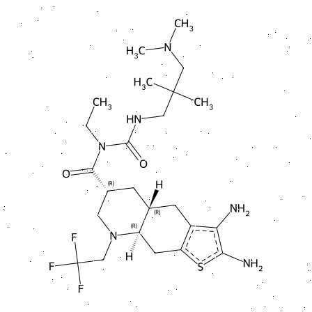 CCN(C(=O)NCC(C)(C)CN(C)C)C(=O)[C@@H]1C[C@@H]2Cc3c(sc(N)c3N)C[C@H]2N(CC(F)(F)F)C1